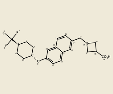 CCC(F)(F)[C@H]1CC[C@H](Oc2ccc3cc(CN4CC(C(=O)O)C4)ccc3c2)CC1